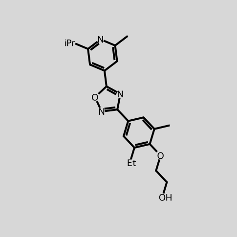 CCc1cc(-c2noc(-c3cc(C)nc(C(C)C)c3)n2)cc(C)c1OCCO